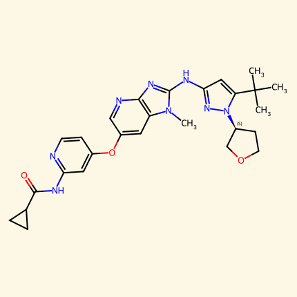 Cn1c(Nc2cc(C(C)(C)C)n([C@H]3CCOC3)n2)nc2ncc(Oc3ccnc(NC(=O)C4CC4)c3)cc21